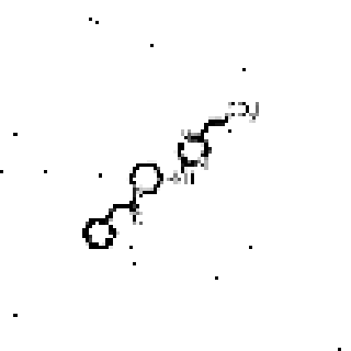 O=C(O)C=Cc1cnc(N[C@@H]2CCCN(C(=O)Cc3ccccc3)C2)cn1